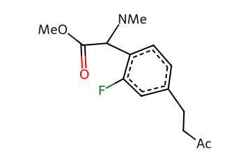 CNC(C(=O)OC)c1ccc(CCC(C)=O)cc1F